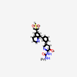 CC(C)NC(=O)NC1=NC=C(c2cccc(-c3cc(C(C)(C)S(C)(=O)=O)cc4cccnc34)c2)CC1=O